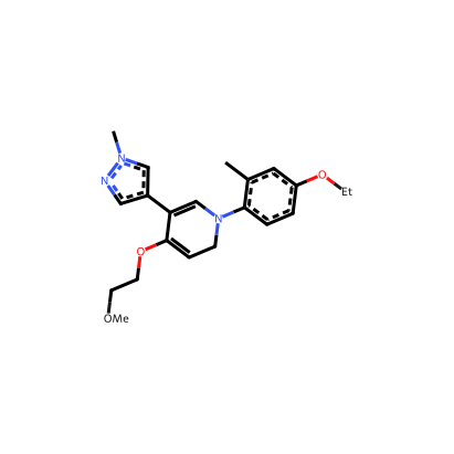 CCOc1ccc(N2C=C(c3cnn(C)c3)C(OCCOC)=CC2)c(C)c1